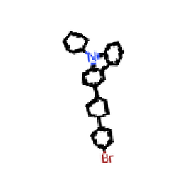 Brc1ccc(C2C=CC(c3ccc4c(c3)c3ccccc3n4C3=CC=CC=CC3)=CC2)cc1